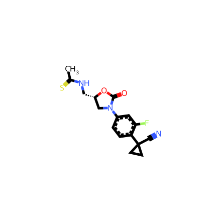 CC(=S)NC[C@H]1CN(c2ccc(C3(C#N)CC3)c(F)c2)C(=O)O1